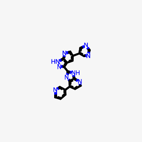 c1cncc(-c2ccnc3[nH]c(-c4n[nH]c5ncc(-c6cncnc6)cc45)nc23)c1